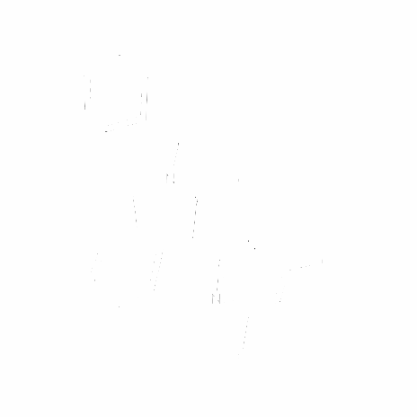 O=C(Cc1nc(Cl)c(Cl)c(Cl)n1)N(Cc1ccccc1)Cc1ccccc1